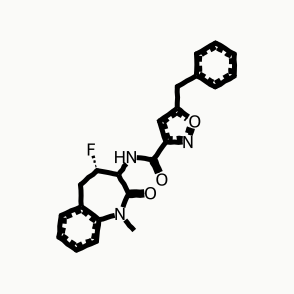 CN1C(=O)C(NC(=O)c2cc(Cc3ccccc3)on2)[C@@H](F)Cc2ccccc21